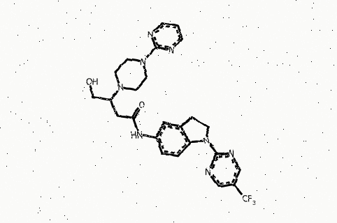 O=C(CC(CO)N1CCN(c2ncccn2)CC1)Nc1ccc2c(c1)CCN2c1ncc(C(F)(F)F)cn1